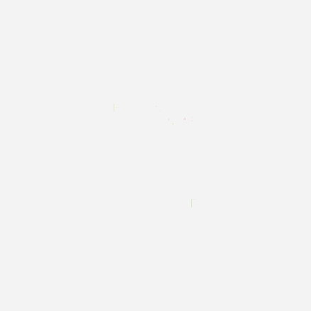 [O-][S+]1SC(S)C=C1c1ccc(F)cc1